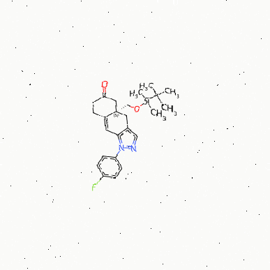 CC(C)(C)[Si](C)(C)OC[C@@]12CC(=O)CCC1=Cc1c(cnn1-c1ccc(F)cc1)C2